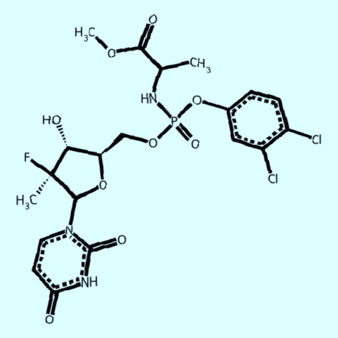 COC(=O)C(C)NP(=O)(OC[C@H]1OC(n2ccc(=O)[nH]c2=O)[C@@](C)(F)[C@@H]1O)Oc1ccc(Cl)c(Cl)c1